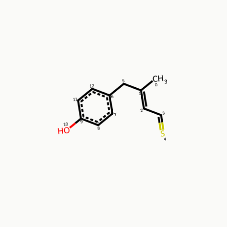 CC(=CC=S)Cc1ccc(O)cc1